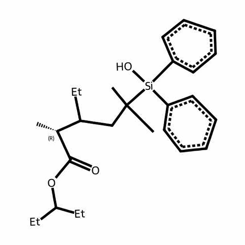 CCC(CC)OC(=O)[C@H](C)C(CC)CC(C)(C)[Si](O)(c1ccccc1)c1ccccc1